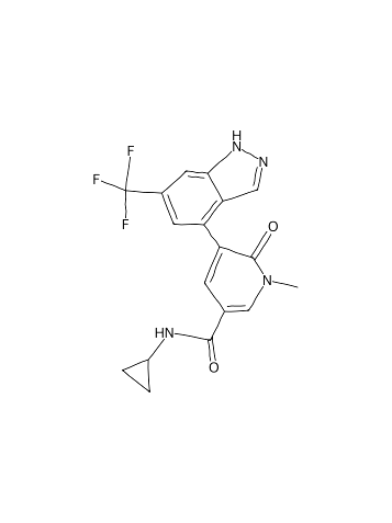 Cn1cc(C(=O)NC2CC2)cc(-c2cc(C(F)(F)F)cc3[nH]ncc23)c1=O